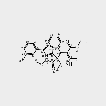 CCOC(=O)C1=C(C)NC(C)C(C(=O)OCC)(c2nc(-c3cccc(F)c3)cs2)C1c1ccccc1